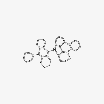 C1=c2c(-c3ccccc3)c3ccccc3c(-n3c4cccc5c6ccccc6c6cccc3c6c54)c2=CCC1